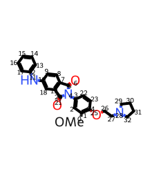 COc1cc(N2C(=O)c3ccc(Nc4ccccc4)cc3C2=O)ccc1OCCN1CCCC1